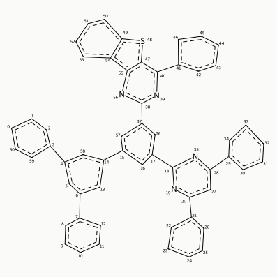 c1ccc(-c2cc(-c3ccccc3)cc(-c3cc(-c4nc(-c5ccccc5)cc(-c5ccccc5)n4)cc(-c4nc(-c5ccccc5)c5sc6ccccc6c5n4)c3)c2)cc1